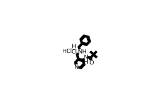 CC(C)(C)C(=O)Nc1ccncc1CNCc1ccccc1.Cl.Cl